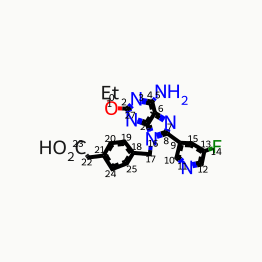 CCOc1nc(N)c2nc(-c3cncc(F)c3)n(Cc3ccc(CC(=O)O)cc3)c2n1